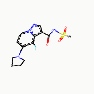 CC(C)S(=O)(=O)NC(=O)c1cnn2ccc(N3CCCC3)c(F)c12